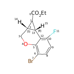 CCOC(=O)C1[C@H]2COc3c(Br)ccc(F)c3[C@@H]12